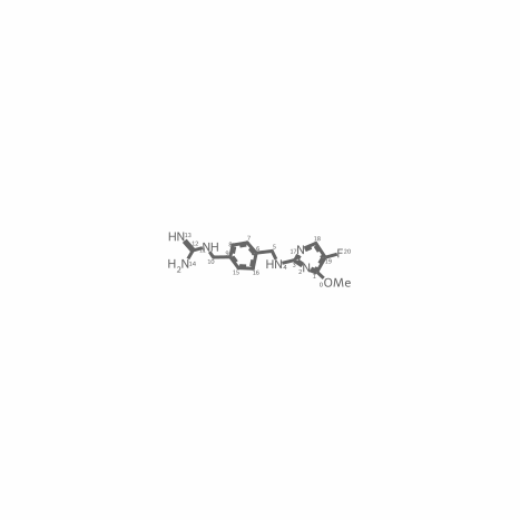 COc1nc(NCc2ccc(CNC(=N)N)cc2)ncc1F